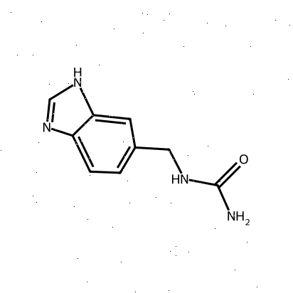 NC(=O)NCc1ccc2nc[nH]c2c1